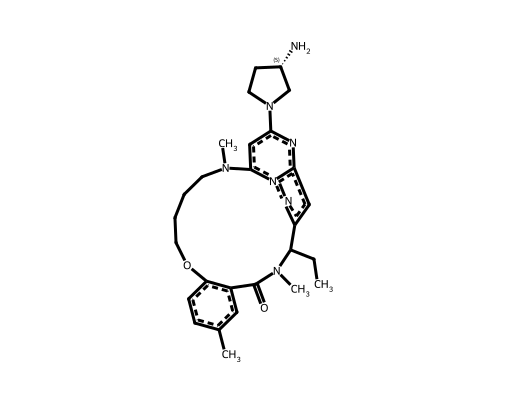 CCC1c2cc3nc(N4CC[C@H](N)C4)cc(n3n2)N(C)CCCCOc2ccc(C)cc2C(=O)N1C